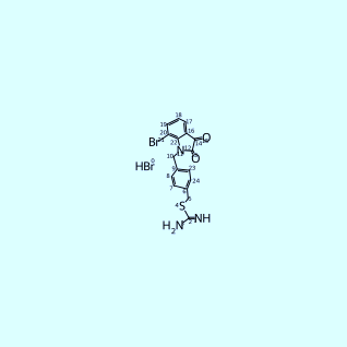 Br.N=C(N)SCc1ccc(CN2C(=O)C(=O)c3cccc(Br)c32)cc1